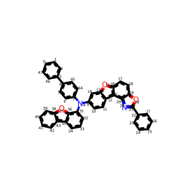 c1ccc(-c2ccc(N(c3ccc4c(c3)oc3ccc5oc(-c6ccccc6)nc5c34)c3cccc4c3oc3ccccc34)cc2)cc1